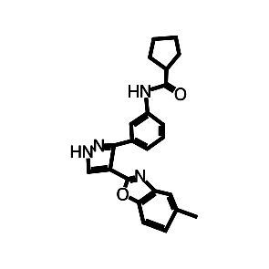 Cc1ccc2oc(-c3c[nH]nc3-c3cccc(NC(=O)C4CCCC4)c3)nc2c1